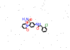 NS(=O)(=O)c1cc(NC(=O)Cc2ccccc2Cl)ccc1-n1ccccc1=O